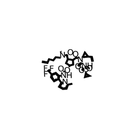 C=CCCCCN(C)C(=O)C1CC(OC(=O)Nc2cc(C(F)(F)F)ccc2-c2cccc(C)n2)CC1C(=O)N(C(=O)NS(=O)(=O)C1CC1)C1CC1C=C